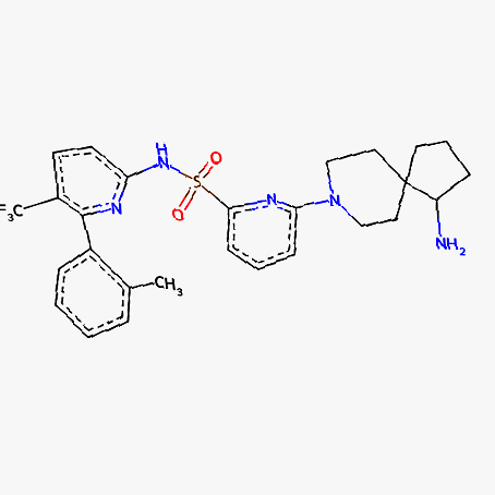 Cc1ccccc1-c1nc(NS(=O)(=O)c2cccc(N3CCC4(CCCC4N)CC3)n2)ccc1C(F)(F)F